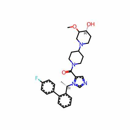 COC1CN(C2CCN(C(=O)c3cncn3[C@@H](C)c3ccccc3-c3ccc(F)cc3)CC2)CC[C@H]1O